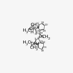 [CH2]=[Zr]([CH]1C=[C]([GeH]([CH3])[CH3])c2ccccc21)[CH]1C=[C]([GeH]([CH3])[CH3])c2ccccc21